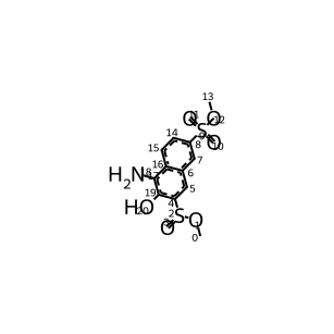 COS(=O)c1cc2cc(S(=O)(=O)OC)ccc2c(N)c1O